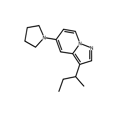 CCC(C)c1cnn2ccc(N3CCCC3)cc12